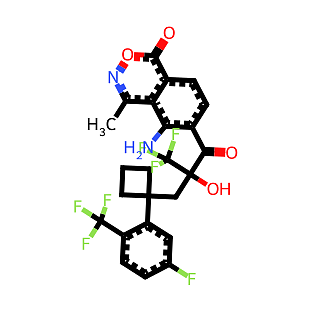 Cc1noc(=O)c2ccc(C(=O)C(O)(CC3(c4cc(F)ccc4C(F)(F)F)CCC3)C(F)(F)F)c(N)c12